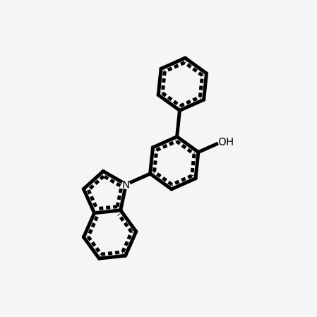 Oc1ccc(-n2ccc3ccccc32)cc1-c1ccccc1